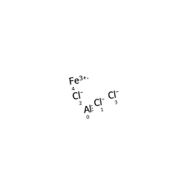 [Al].[Cl-].[Cl-].[Cl-].[Fe+3]